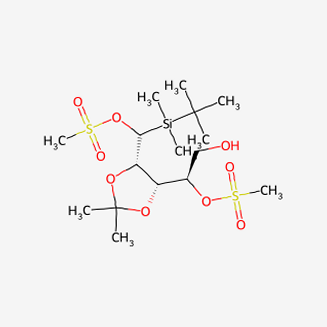 CC1(C)O[C@@H]([C@@H](CO)OS(C)(=O)=O)[C@@H](C(OS(C)(=O)=O)[Si](C)(C)C(C)(C)C)O1